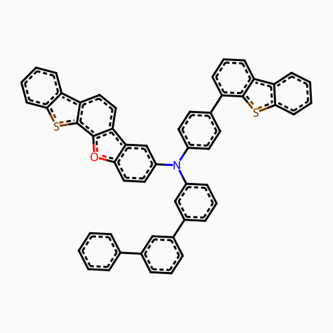 c1ccc(-c2cccc(-c3cccc(N(c4ccc(-c5cccc6c5sc5ccccc56)cc4)c4ccc5oc6c(ccc7c8ccccc8sc76)c5c4)c3)c2)cc1